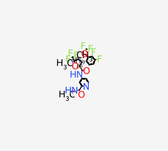 CNC(=O)c1cc(NC(=O)[C@H]2O[C@@](C)(C(F)(F)F)[C@H](C)[C@@H]2c2ccc(F)c(F)c2OC(F)F)ccn1